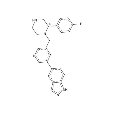 Fc1ccc([C@H]2CNCCN2Cc2cncc(-c3ccc4[nH]ncc4c3)c2)cc1